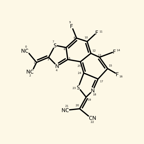 N#CC(C#N)=c1nc2c(s1)c(F)c(F)c1c(F)c(F)c3nc(=C(C#N)C#N)sc3c12